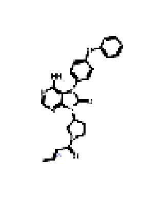 C/C=C/C(=O)N1CCC(n2c(=O)n(-c3ccc(Oc4ccccc4)cc3)c3c(N)ncnc32)C1